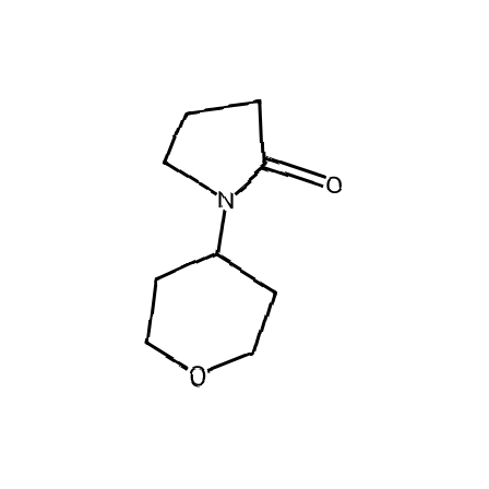 O=C1CCCN1C1CCOCC1